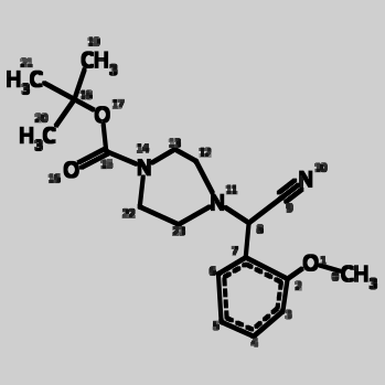 COc1ccccc1C(C#N)N1CCN(C(=O)OC(C)(C)C)CC1